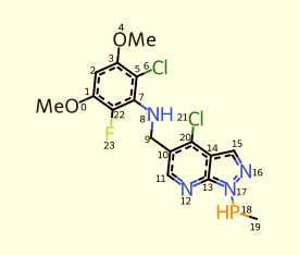 COc1cc(OC)c(Cl)c(NCc2cnc3c(cnn3PC)c2Cl)c1F